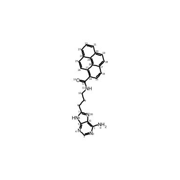 Nc1ncnc2[nH]c(CCCNC(=O)c3ccc4ccc5cccc6ccc3c4c56)nc12